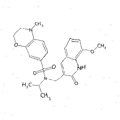 COc1cccc2cc(CN(C(C)C)S(=O)(=O)c3ccc4c(c3)OCCN4C)c(=O)[nH]c12